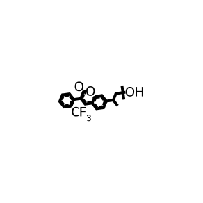 CC(CC(C)(C)O)c1ccc2cc(-c3ccccc3C(F)(F)F)c(=O)oc2c1